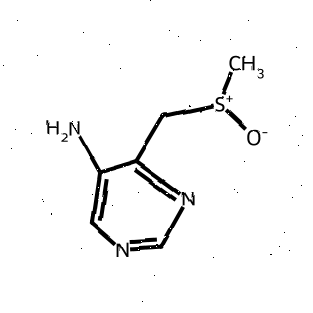 C[S+]([O-])Cc1ncncc1N